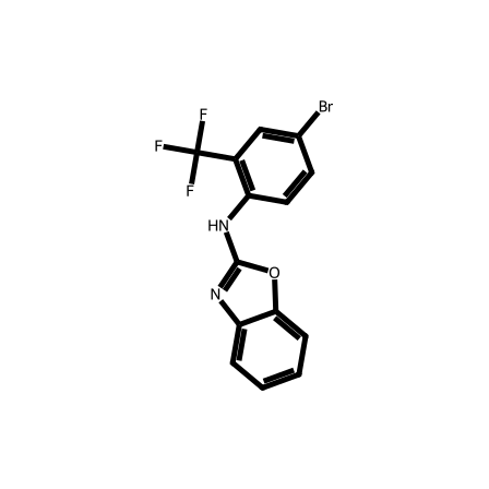 FC(F)(F)c1cc(Br)ccc1Nc1nc2ccccc2o1